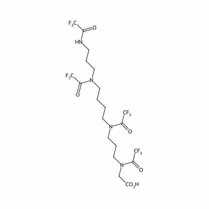 O=C(O)CN(CCCN(CCCCN(CCCNC(=O)C(F)(F)F)C(=O)C(F)(F)F)C(=O)C(F)(F)F)C(=O)C(F)(F)F